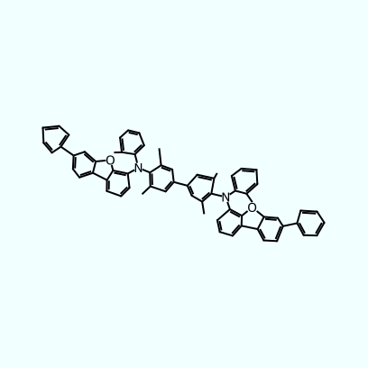 Cc1ccccc1N(c1c(C)cc(-c2cc(C)c(N(c3ccccc3C)c3cccc4c3oc3cc(-c5ccccc5)ccc34)c(C)c2)cc1C)c1cccc2c1oc1cc(-c3ccccc3)ccc12